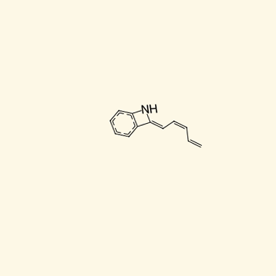 C=C/C=C\C=C1/Nc2ccccc21